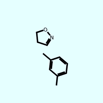 C1=NOCC1.Cc1cccc(C)c1